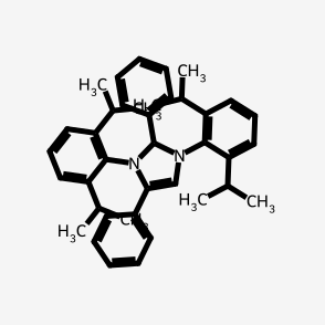 CC(C)c1cccc(C(C)C)c1N1C=C(c2ccccc2)N(c2c(C(C)C)cccc2C(C)C)C1c1ccccc1